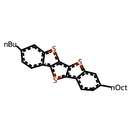 CCCCCCCCc1ccc2c(c1)sc1c2sc2c3ccc(CCCC)cc3sc21